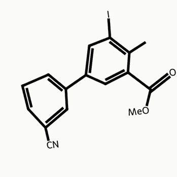 COC(=O)c1cc(-c2cccc(C#N)c2)cc(I)c1C